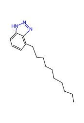 CCCCCCCCCCc1cccc2[nH]nnc12